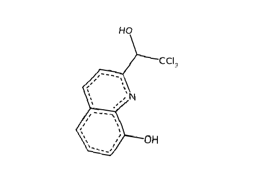 Oc1cccc2ccc(C(O)C(Cl)(Cl)Cl)nc12